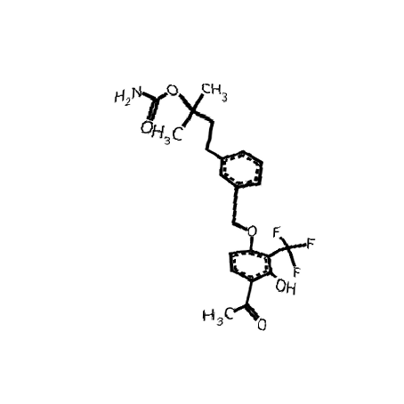 CC(=O)c1ccc(OCc2cccc(CCC(C)(C)OC(N)=O)c2)c(C(F)(F)F)c1O